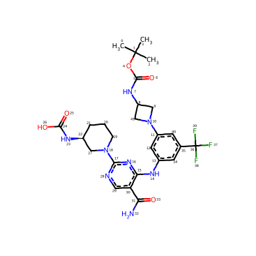 CC(C)(C)OC(=O)NC1CN(c2cc(Nc3nc(N4CCC[C@H](NC(=O)O)C4)ncc3C(N)=O)cc(C(F)(F)F)c2)C1